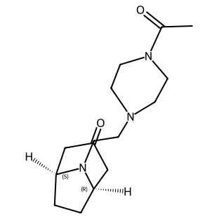 CC(=O)N1CCN(CCN2[C@@H]3CC[C@H]2CC(=O)C3)CC1